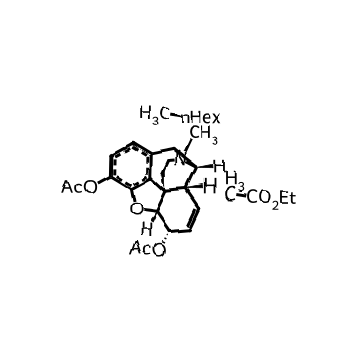 CC(=O)Oc1ccc2c3c1O[C@H]1[C@@H](OC(C)=O)C=C[C@H]4[C@@H](C2)N(C)CC[C@@]341.CCCCCCC.CCOC(C)=O